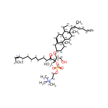 CCCCCCCC/C=C\CCCCCCCC(=O)C(OP(=O)([O-])OCC[N+](C)(C)C)(C(=O)O)[C@H](CO)OC1CC[C@@]2(C)C(=CCC3C2CC[C@@]2(C)C3CC[C@@H]2[C@H](C)CCCC(C)C)C1